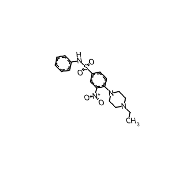 CCN1CCN(c2ccc(S(=O)(=O)Nc3ccccc3)cc2[N+](=O)[O-])CC1